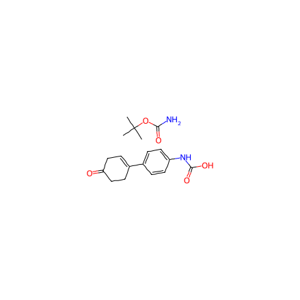 CC(C)(C)OC(N)=O.O=C1CC=C(c2ccc(NC(=O)O)cc2)CC1